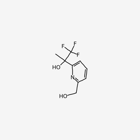 CC(O)(c1cccc(CO)n1)C(F)(F)F